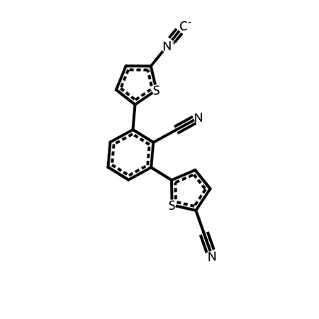 [C-]#[N+]c1ccc(-c2cccc(-c3ccc(C#N)s3)c2C#N)s1